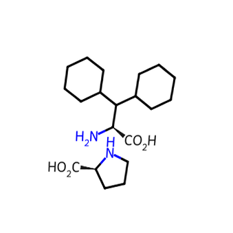 N[C@H](C(=O)O)C(C1CCCCC1)C1CCCCC1.O=C(O)[C@@H]1CCCN1